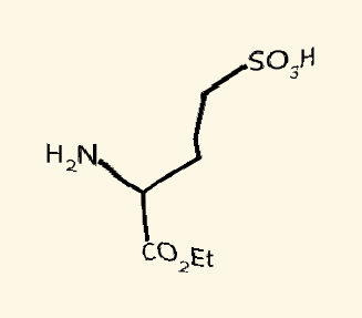 CCOC(=O)C(N)CCS(=O)(=O)O